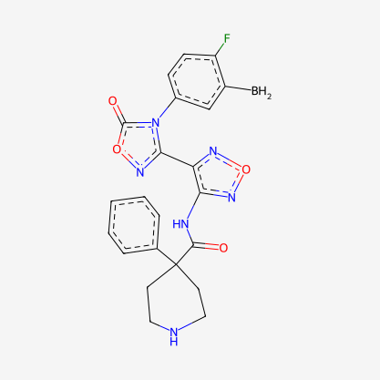 Bc1cc(-n2c(-c3nonc3NC(=O)C3(c4ccccc4)CCNCC3)noc2=O)ccc1F